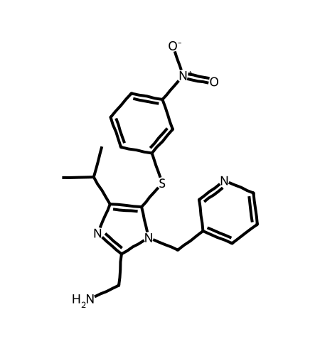 CC(C)c1nc(CN)n(Cc2cccnc2)c1Sc1cccc([N+](=O)[O-])c1